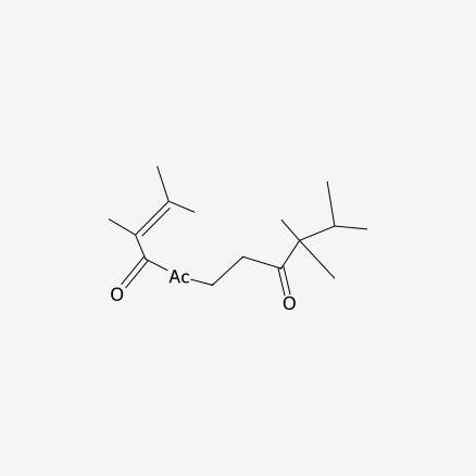 CC(C)=C(C)[C](=O)[Ac][CH2]CC(=O)C(C)(C)C(C)C